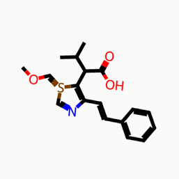 COC=S1C=NC(C=Cc2ccccc2)=C1C(C(=O)O)C(C)C